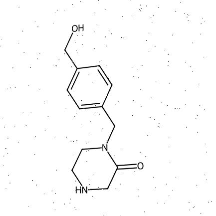 O=C1CNCCN1Cc1ccc(CO)cc1